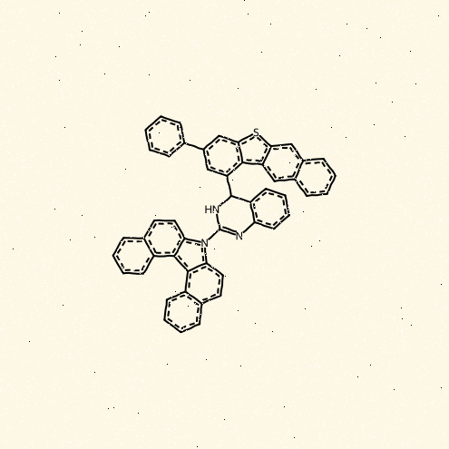 c1ccc(-c2cc(C3NC(n4c5ccc6ccccc6c5c5c6ccccc6ccc54)=Nc4ccccc43)c3c(c2)sc2cc4ccccc4cc23)cc1